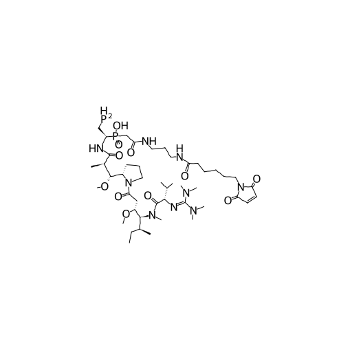 CC[C@H](C)[C@@H]([C@@H](CC(=O)N1CCC[C@H]1[C@H](OC)[C@@H](C)C(=O)N[C@@H](CP)P(=O)(O)CC(=O)NCCCNC(=O)CCCCCN1C(=O)C=CC1=O)OC)N(C)C(=O)[C@@H](N=C(N(C)C)N(C)C)C(C)C